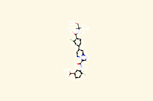 CC(C)(CO)NC(=O)c1ccc(-c2ccn3c(C(=O)Nc4cc(C(=O)O)ccc4F)cnc3c2)cc1F